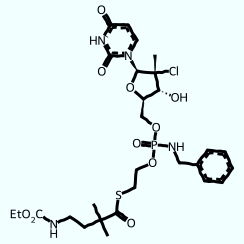 CCOC(=O)NCCC(C)(C)C(=O)SCCOP(=O)(NCc1ccccc1)OC[C@H]1O[C@@H](n2ccc(=O)[nH]c2=O)[C@](C)(Cl)[C@@H]1O